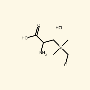 C[Si](C)(CCl)CC(N)C(=O)O.Cl